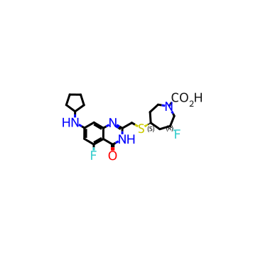 O=C(O)N1CC[C@H](SCc2nc3cc(NC4CCCC4)cc(F)c3c(=O)[nH]2)C[C@@H](F)C1